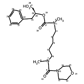 CN(CCCCCN(C)C(=O)N1CCOCC1)C(=O)O[C@@H](Cc1ccccc1)C(=O)O